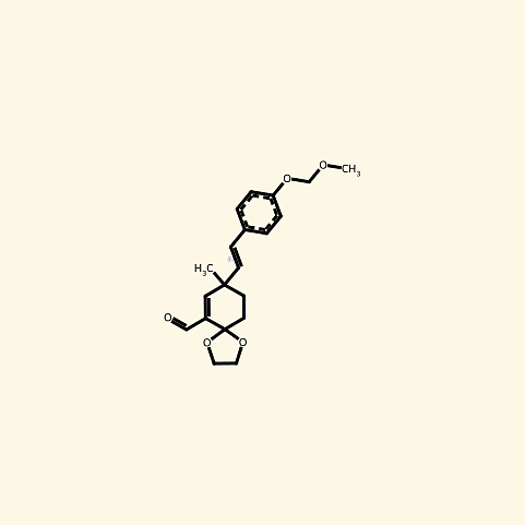 COCOc1ccc(/C=C/C2(C)C=C(C=O)C3(CC2)OCCO3)cc1